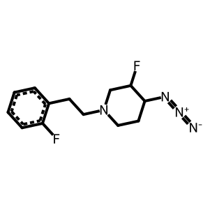 [N-]=[N+]=NC1CCN(CCc2ccccc2F)CC1F